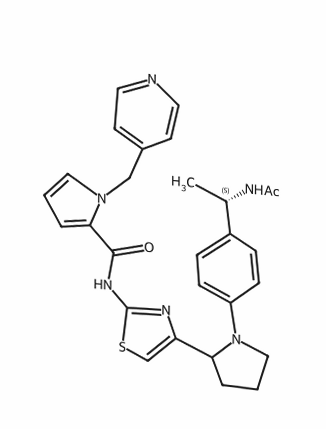 CC(=O)N[C@@H](C)c1ccc(N2CCCC2c2csc(NC(=O)c3cccn3Cc3ccncc3)n2)cc1